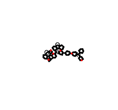 c1ccc(N(c2ccccc2)c2ccc(-c3ccc(-c4ccc(N(c5ccc6c(c5)C5(c7ccccc7Oc7ccccc75)c5ccccc5-6)c5cccc6oc7ccccc7c56)cc4)cc3)cc2)cc1